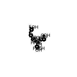 O=C(O)c1c(F)ccc2c1OB(O)[C@@H](NC(=O)C(NC(=O)N1CCN(C3CCN(Cc4ccc(O)c(F)c4)CC3)C1=O)c1cc(F)c(O)c(O)c1Cl)C2